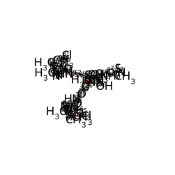 Cc1ncsc1-c1ccc(CNC(=O)[C@@H]2C[C@@H](O)CN2C(=O)[C@@H](NC(=O)COCCOCCNC(=O)C[C@@H]2N=C(c3ccc(Cl)cc3)c3c(sc(C)c3C)-n3c(C)nnc32)C(C)(C)SCCCCCCNC(=O)C[C@@H]2N=C(c3ccc(Cl)cc3)c3c(sc(C)c3C)-n3c(C)nnc32)cc1